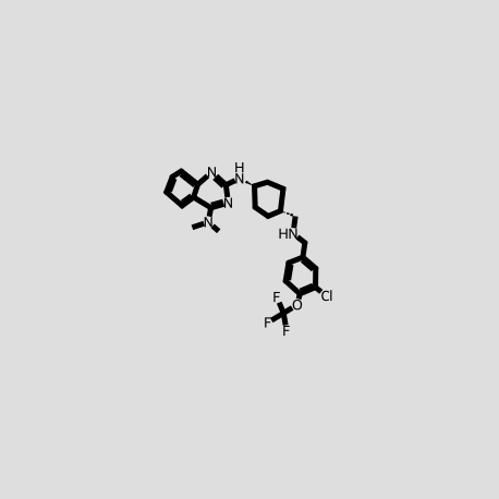 CN(C)c1nc(N[C@H]2CC[C@@H](CNCc3ccc(OC(F)(F)F)c(Cl)c3)CC2)nc2ccccc12